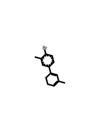 CC1=CC[CH]C(c2ccc(Br)c(C)c2)=C1